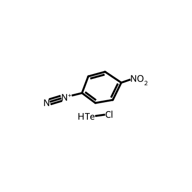 Cl[TeH].N#[N+]c1ccc([N+](=O)[O-])cc1